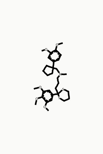 COc1ccc(C2(CN(C)CCCC3(c4cc(OC)c(OC)c(OC)c4)SCCCS3)CCCC2)cc1OC